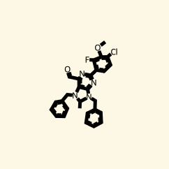 COc1c(Cl)ccc(-c2nc(C=O)c3c(n2)N(Cc2ccccc2)C(C)N3Cc2ccccc2)c1F